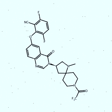 CN1C[C@H](n2cnc3ccc(Oc4c(F)ccc(F)c4C#N)cc3c2=O)CC12CCN(C(=O)C(F)(F)F)CC2